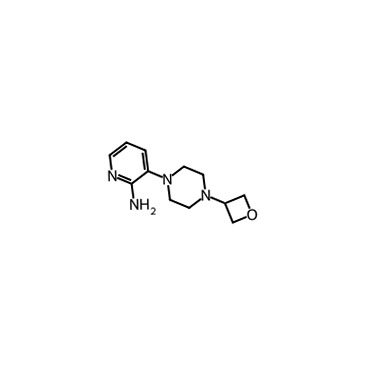 Nc1ncccc1N1CCN(C2COC2)CC1